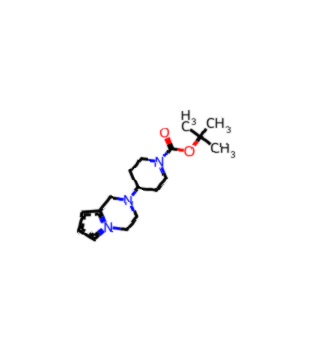 CC(C)(C)OC(=O)N1CCC(N2CCn3cccc3C2)CC1